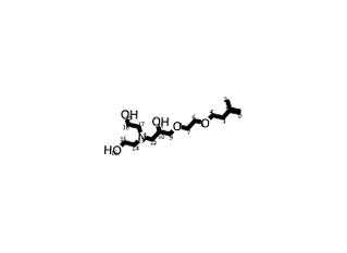 C=C(C)CCOCCOCC(O)CN(CCO)CCO